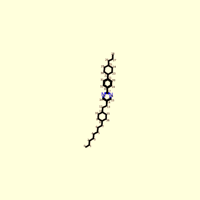 CCCCCCCCC1CCC(CCc2cnc(-c3ccc(C4CCC(CCC)CC4)cc3)nc2)CC1